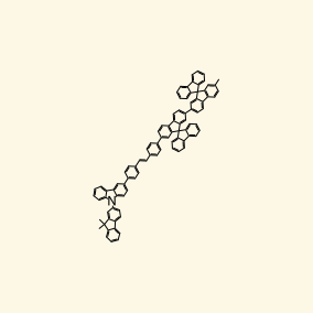 Cc1ccc2c(c1)C1(c3ccccc3-c3ccccc31)c1cc(-c3ccc4c(c3)C3(c5ccccc5-c5ccccc53)c3cc(-c5ccc(/C=C/c6ccc(-c7ccc8c(c7)c7ccccc7n8-c7ccc8c(c7)C(C)(C)c7ccccc7-8)cc6)cc5)ccc3-4)ccc1-2